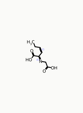 CC/C=C\C(=N/CC(=O)O)C(=O)O